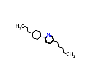 CCCCCc1ccc([C@H]2CC[C@H](CCC)CC2)nc1